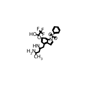 CC(N)CC(=N)Cc1cccc2c1ccn2S(=O)(=O)c1ccccc1.O=C(O)C(F)(F)F